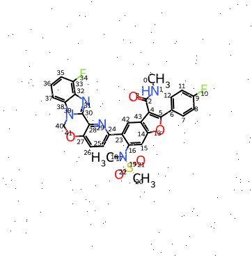 CNC(=O)c1c(-c2ccc(F)cc2)oc2cc(N(C)S(C)(=O)=O)c(-c3ccc4c(n3)-c3nc5c(F)cccc5n3CO4)cc12